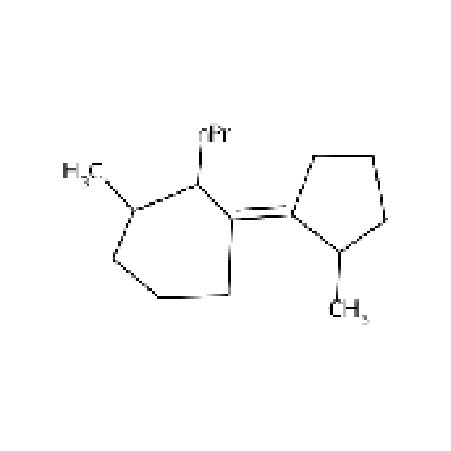 CCCC1C(=C2CCCC2C)CCCC1C